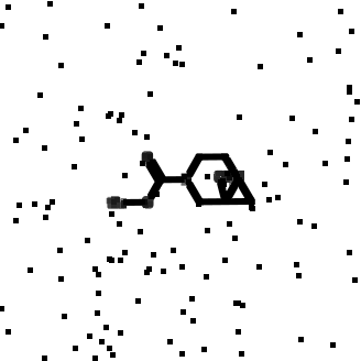 CC(C)(C)OC(=O)N1CCC2CC2(C(=O)O)C1